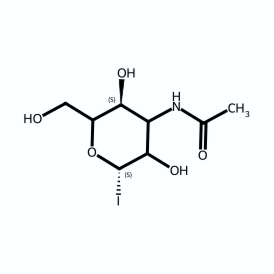 CC(=O)NC1C(O)[C@H](I)OC(CO)[C@H]1O